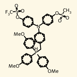 COc1ccc([PH](Cc2ccc(N(c3ccc(OS(C)(=O)=O)cc3)c3ccc(OS(=O)(=O)C(F)(F)F)cc3)cc2)(c2ccc(OC)cc2)c2ccc(OC)cc2)cc1